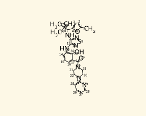 Cc1ccc([C@H](Nc2nsnc2Nc2cccc(C(=O)N3CCN(c4ccccn4)CC3)c2O)C(C)(C)C)o1